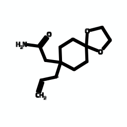 C=C[CH]C1(CC(N)=O)CCC2(CC1)OCCO2